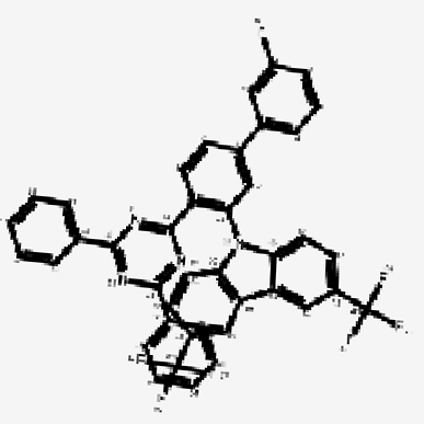 Fc1cccc(-c2ccc(-c3nc(-c4ccccc4)nc(-c4ccccc4)n3)c(-n3c4ccc(C(F)(F)F)cc4c4cc(C(F)(F)F)ccc43)c2)c1